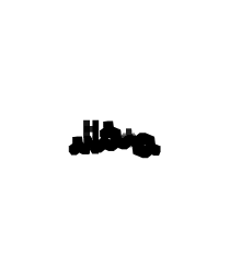 CC(C)=CC(CCCNCC(C)C)C[C@H](C)C1=CCC(C)C=C1